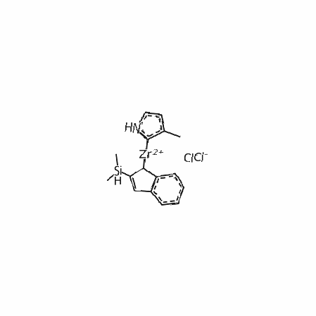 Cc1cc[nH][c]1[Zr+2][CH]1C([SiH](C)C)=Cc2ccccc21.[Cl-].[Cl-]